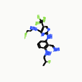 CC(F)CNc1cccc(Nc2ncc(C(F)(F)F)c(NCCF)n2)c1C=N